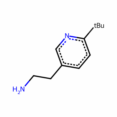 CC(C)(C)c1ccc(CCN)cn1